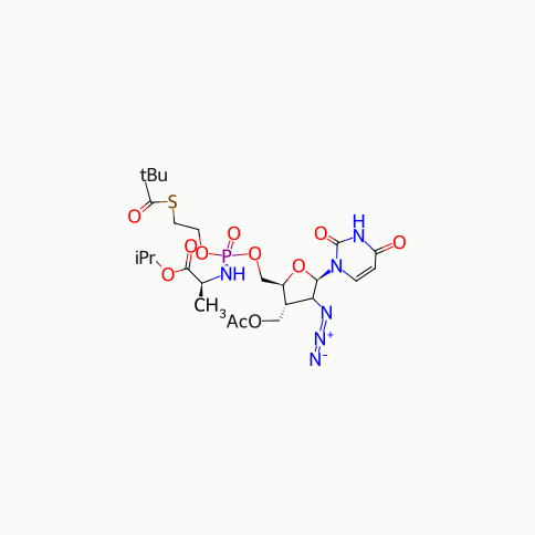 CC(=O)OC[C@H]1C(N=[N+]=[N-])[C@H](n2ccc(=O)[nH]c2=O)O[C@@H]1CO[P@](=O)(N[C@@H](C)C(=O)OC(C)C)OCCSC(=O)C(C)(C)C